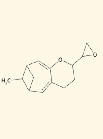 CC1C2C=C3CCC(C4CO4)OC3=CC1C2